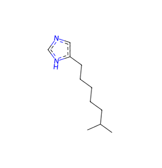 CC(C)CCCCCc1cnc[nH]1